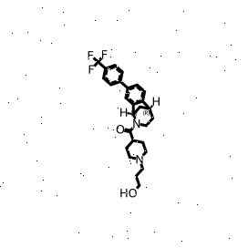 O=C(C1CCN(CCCO)CC1)N1CC[C@@H]2C[C@H]1c1cc(-c3ccc(C(F)(F)F)cc3)ccc12